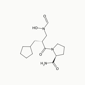 NC(=O)[C@@H]1CCCN1C(=O)[C@H](CC1CCCC1)CN(O)C=O